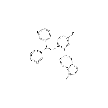 Cn1ccc2cc(-c3cc(F)ccc3CC(c3cccnc3)c3cccnc3)ccc21